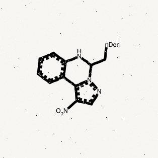 CCCCCCCCCCCC1Nc2ccccc2-c2c([N+](=O)[O-])cnn21